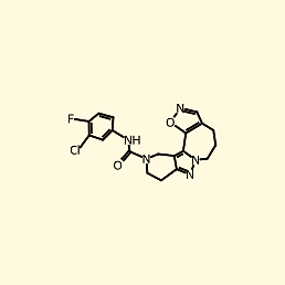 O=C(Nc1ccc(F)c(Cl)c1)N1CCc2nn3c(c2C1)-c1oncc1CCC3